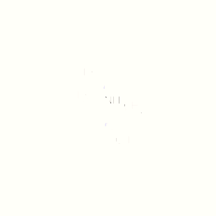 C=C/C(=C\C)CN/C(C)=C/C